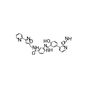 N=COc1ncccc1-c1ccc(O)c(-c2nc3cc(C(=O)NCc4cc(-c5ccccn5)no4)ccc3[nH]2)c1